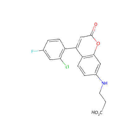 O=C(O)CCNc1ccc2c(-c3ccc(F)cc3Cl)cc(=O)oc2c1